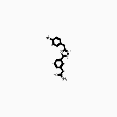 N#Cc1ccc(Cc2nnc(-c3cccc(CC(N)=O)c3)o2)cc1